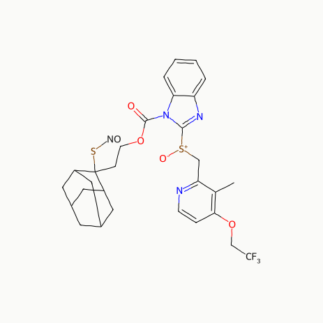 Cc1c(OCC(F)(F)F)ccnc1C[S+]([O-])c1nc2ccccc2n1C(=O)OCCC1(SN=O)C2CC3CC(C2)CC1C3